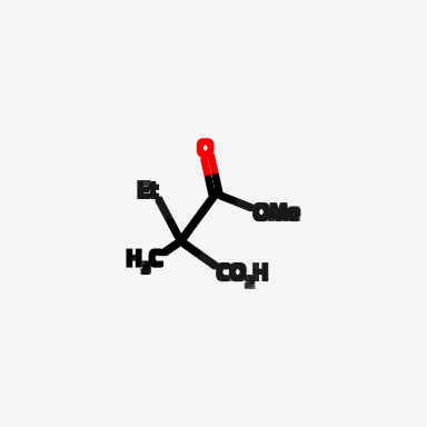 CCC(C)(C(=O)O)C(=O)OC